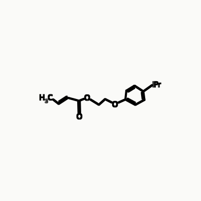 CC=CC(=O)OCCOc1ccc(C(C)C)cc1